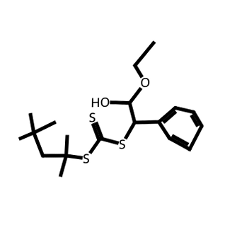 CCOC(O)C(SC(=S)SC(C)(C)CC(C)(C)C)c1ccccc1